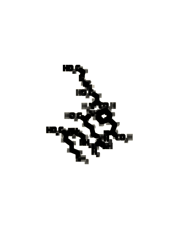 N=C(N)NCCCC(N)C(=O)O.NC(CC(=O)O)C(=O)O.NC(Cc1ccccc1)C(=O)O.NCC(=O)O.NCCCCC(N)C(=O)O.[N-]=[N+]=NCC(=O)O